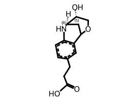 O=C(O)CCc1ccc2c(c1)C1C[C@@H](N2)[C@H](O)CO1